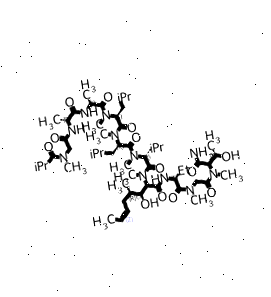 C/C=C\C[C@@H](C)[C@H](O)C(C(=O)N[C@@H](CC)C(=O)N(C)CC(=O)N(C)C(C(N)=O)[C@H](C)O)N(C)C(=O)[C@@H](C(C)C)N(C)C(=O)[C@@H](CC(C)C)N(C)C(=O)[C@H](CC(C)C)N(C)C(=O)[C@H](C)NC(=O)[C@@H](C)NC(=O)CN(C)C(=O)C(C)C